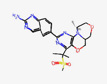 C[C@@H]1COCC2COc3c(nc(-c4ccc5nc(N)ncc5c4)nc3C(C)(C)S(C)(=O)=O)N21